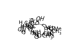 CCn1c(-c2cccnc2[C@H](C)OC)c2c3cc(ccc31)-c1cc(O)cc(c1)C[C@H](NC(=O)[C@H](C(C)C)N(C)C(=O)[C@H]1C[C@@H]3COCC(=O)N3C1)C(=O)N1CCC[C@H](N1)C(=O)OCC(C)(C)C2